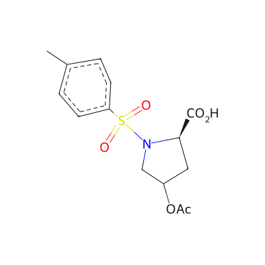 CC(=O)OC1C[C@H](C(=O)O)N(S(=O)(=O)c2ccc(C)cc2)C1